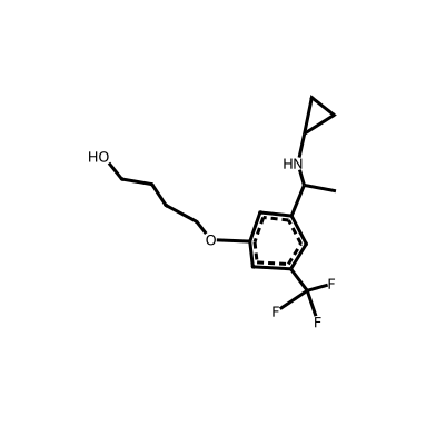 CC(NC1CC1)c1cc(OCCCCO)cc(C(F)(F)F)c1